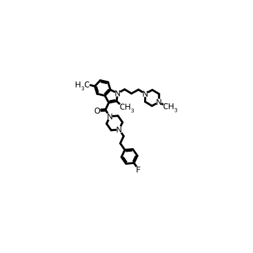 Cc1ccc2c(c1)c(C(=O)N1CCN(CCc3ccc(F)cc3)CC1)c(C)n2CCCN1CCN(C)CC1